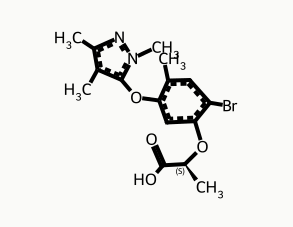 Cc1cc(Br)c(O[C@@H](C)C(=O)O)cc1Oc1c(C)c(C)nn1C